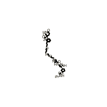 CC(C)NC(=O)O[C@@H]1CC[C@H](c2cc(NC(=O)c3cnn(CCOCCN(C)CCCOCCCc4cccc5c4n(C)c(=O)n5C4CCC(=O)NC4=O)c3)n[nH]2)C1